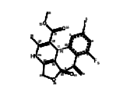 C=C(C)c1c(F)cc(F)cc1[C@H]1C(C(=O)OC)=C(C)NC2=C1C(=O)OC2